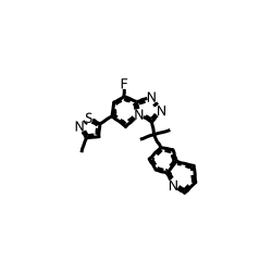 Cc1cc(-c2cc(F)c3nnc(C(C)(C)c4ccc5ncccc5c4)n3c2)sn1